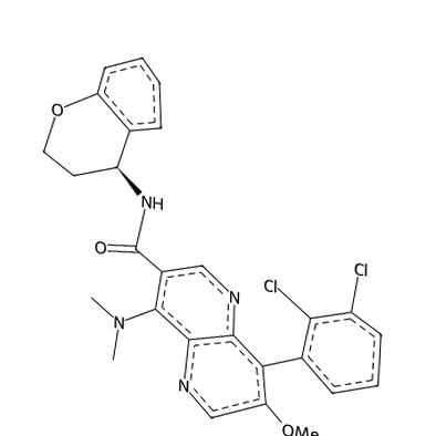 COc1cnc2c(N(C)C)c(C(=O)N[C@H]3CCOc4ccccc43)cnc2c1-c1cccc(Cl)c1Cl